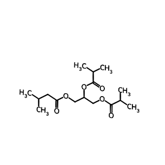 CC(C)CC(=O)OCC(COC(=O)C(C)C)OC(=O)C(C)C